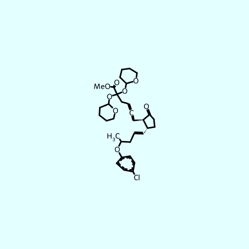 COC(=O)C(CC=C=C[C@H]1C(=O)CC[C@@H]1/C=C/CC(C)Oc1ccc(Cl)cc1)(OC1CCCCO1)OC1CCCCO1